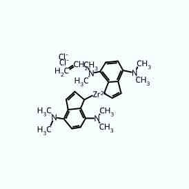 C=C.CN(C)c1ccc(N(C)C)c2c1C=C[CH]2[Zr+2][CH]1C=Cc2c(N(C)C)ccc(N(C)C)c21.[Cl-].[Cl-]